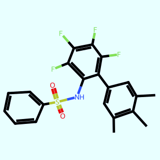 Cc1cc(-c2c(F)c(F)c(F)c(F)c2NS(=O)(=O)c2ccccc2)cc(C)c1C